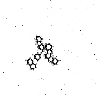 c1ccc2c(-c3ccc(N(c4ccc5c(c4)oc4ccccc45)c4cc5sc6ccccc6c5c5oc6ccccc6c45)cc3)cccc2c1